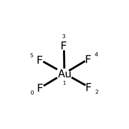 [F][Au]([F])([F])([F])[F]